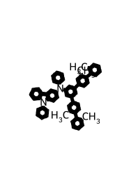 Cc1ccccc1-c1ccc(-c2cc(-c3ccc(-c4ccccc4C)c(C)c3)cc(N(c3ccccc3)c3ccc4c(c3)c3ccccc3n4-c3ccccc3)c2)cc1C